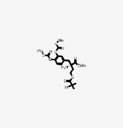 CCC(C)(C)C(=O)OCC[C@@](N)(Cc1ccc(OC(=O)OC(C)(C)C)c(OC(=O)OC(C)(C)C)c1)C(=O)OC